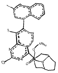 Cc1cc(-c2ncc3c(N4CC5CCC(C4)N5C(=O)OC(C)(C)C)nc(Cl)nc3c2F)c2ccccc2c1